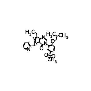 CCc1nn(Cc2ccccn2)c2c(=O)n(-c3cc(S(C)(=O)=O)ccc3OCC(C)C)cnc12